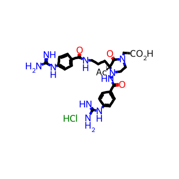 CC(=O)[C@@]1(CCCNC(=O)c2ccc(NC(=N)N)cc2)C(=O)N(CC(=O)O)CCN1NC(=O)c1ccc(NC(=N)N)cc1.Cl